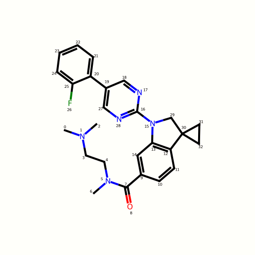 CN(C)CCN(C)C(=O)c1ccc2c(c1)N(c1ncc(-c3ccccc3F)cn1)CC21CC1